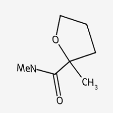 CNC(=O)C1(C)CCCO1